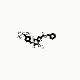 Cn1c(=O)n(Cc2ccc(C(C)(C)C)cc2)c(=O)c2cc(C(=O)OCc3ccccc3)sc21